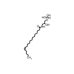 CCCC/C=C\CCCCCCCCCCCC(=O)NCC(O)COP(=O)(O)O